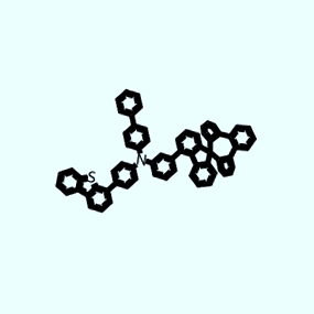 c1ccc(-c2ccc(N(c3ccc(-c4cccc5c4sc4ccccc45)cc3)c3cccc(-c4cccc5c4-c4ccccc4C54c5ccccc5-c5ccccc5-c5ccccc54)c3)cc2)cc1